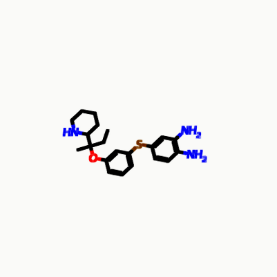 CCC(C)(Oc1cccc(Sc2ccc(N)c(N)c2)c1)C1CCCCN1